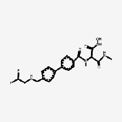 CNC(=O)C(C(=O)NO)N(C)C(=O)c1ccc(-c2ccc(CNCC(F)F)cc2)cc1